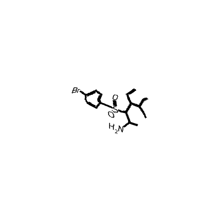 C=CC(C(C)C)C(C(C)N)S(=O)(=O)c1ccc(Br)cc1